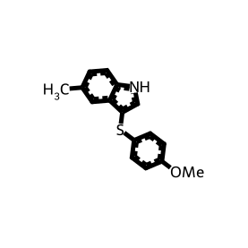 COc1ccc(Sc2c[nH]c3ccc(C)cc23)cc1